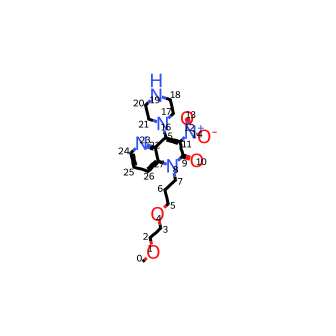 COCCOCCCn1c(=O)c([N+](=O)[O-])c(N2CCNCC2)c2ncccc21